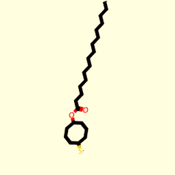 [CH2]CCCCCCCCCCCCCCC(=O)OC1CCCC([S])CCC1